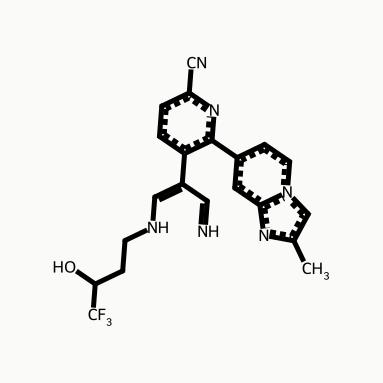 Cc1cn2ccc(-c3nc(C#N)ccc3/C(C=N)=C/NCCC(O)C(F)(F)F)cc2n1